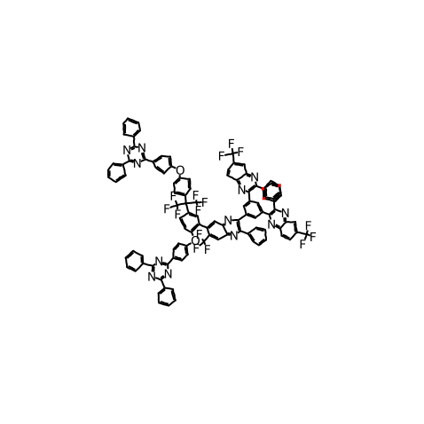 FC(F)(F)c1ccc2nc(-c3cc(-c4nc5ccc(C(F)(F)F)cc5nc4-c4ccccc4)cc(-c4nc5cc(-c6cc(C(c7ccc(Oc8ccc(-c9nc(-c%10ccccc%10)nc(-c%10ccccc%10)n9)cc8)cc7)(C(F)(F)F)C(F)(F)F)ccc6Oc6ccc(-c7nc(-c8ccccc8)nc(-c8ccccc8)n7)cc6)c(C(F)(F)F)cc5nc4-c4ccccc4)c3)c(-c3ccccc3)nc2c1